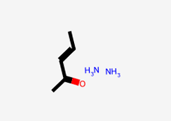 C/C=C/C(C)=O.N.N